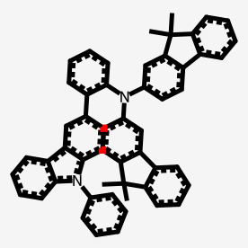 CC1(C)c2ccccc2-c2cc(N(c3ccc4c(c3)C(C)(C)c3ccccc3-4)c3ccccc3-c3ccc4c(c3)c3ccccc3n4-c3ccccc3)ccc21